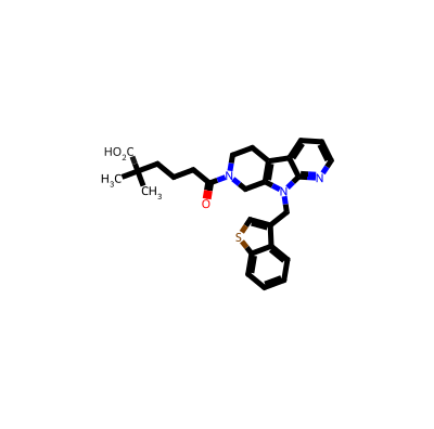 CC(C)(CCCC(=O)N1CCc2c(n(Cc3csc4ccccc34)c3ncccc23)C1)C(=O)O